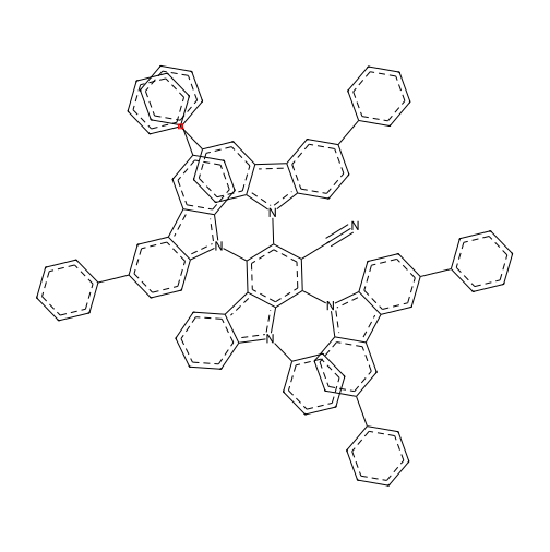 N#Cc1c(-n2c3ccc(-c4ccccc4)cc3c3cc(-c4ccccc4)ccc32)c(-n2c3ccc(-c4ccccc4)cc3c3cc(-c4ccccc4)ccc32)c2c3ccccc3n(-c3ccccc3)c2c1-n1c2ccc(-c3ccccc3)cc2c2cc(-c3ccccc3)ccc21